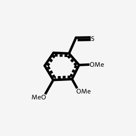 COc1ccc(C=S)c(OC)c1OC